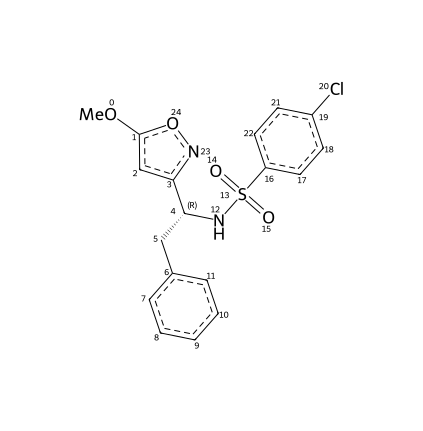 COc1cc([C@@H](Cc2ccccc2)NS(=O)(=O)c2ccc(Cl)cc2)no1